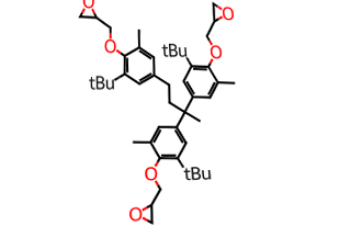 Cc1cc(CCC(C)(c2cc(C)c(OCC3CO3)c(C(C)(C)C)c2)c2cc(C)c(OCC3CO3)c(C(C)(C)C)c2)cc(C(C)(C)C)c1OCC1CO1